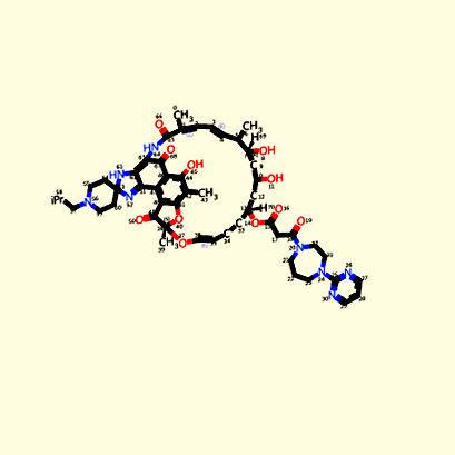 C/C1=C/C=C/C(C)[C@H](O)CC(O)C[C@H](OC(=O)CC(=O)N2CCCN(c3ncccn3)CC2)CC/C=C/O[C@@]2(C)Oc3c(C)c(O)c4c(c3C2=O)C2=NC3(CCN(CC(C)C)CC3)NC2=C(NC1=O)C4=O